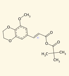 COc1cc(/C=C/C(=O)OC(=O)C(C)(C)C)cc2c1OCCO2